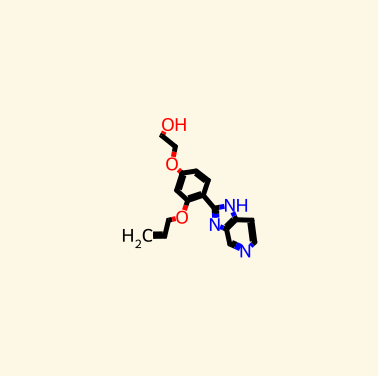 C=CCOc1cc(OCCO)ccc1-c1nc2cnccc2[nH]1